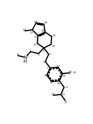 CNCCC1(CCc2ccc(CC(C)C)c(F)c2)CCC2=C(C1)C(C)C=C2